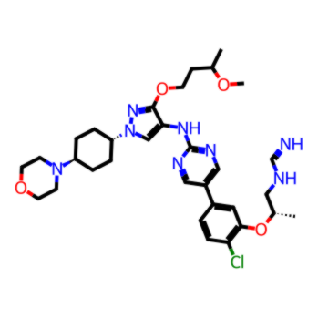 COC(C)CCOc1nn([C@H]2CC[C@H](N3CCOCC3)CC2)cc1Nc1ncc(-c2ccc(Cl)c(O[C@@H](C)CNC=N)c2)cn1